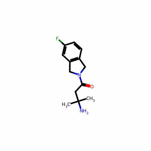 CC(C)(N)CC(=O)N1Cc2ccc(F)cc2C1